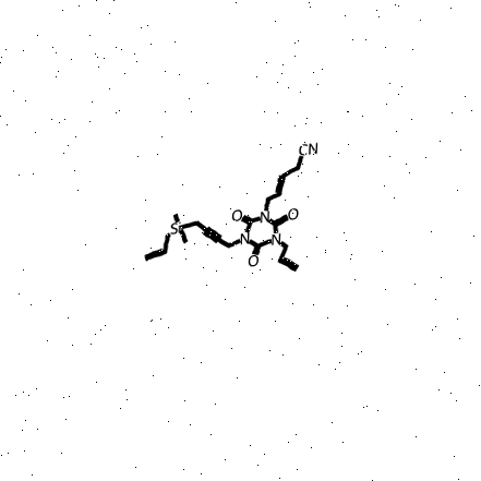 C=CCn1c(=O)n(CC#CC[Si](C)(C)CC=C)c(=O)n(CC=CCC#N)c1=O